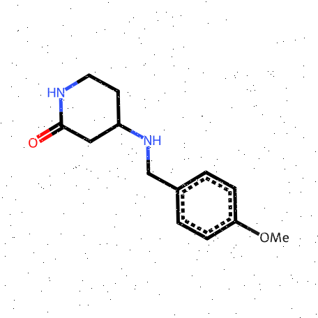 COc1ccc(CNC2CCNC(=O)C2)cc1